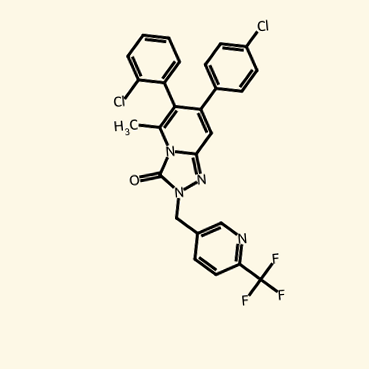 Cc1c(-c2ccccc2Cl)c(-c2ccc(Cl)cc2)cc2nn(Cc3ccc(C(F)(F)F)nc3)c(=O)n12